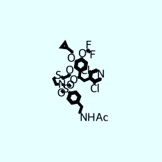 CC(=O)NCCc1ccc(S(=O)(=O)N2CCSC2C(=O)OC(Cc2c(Cl)cncc2Cl)c2ccc(OC(F)F)c(OCC3CC3)c2)cc1